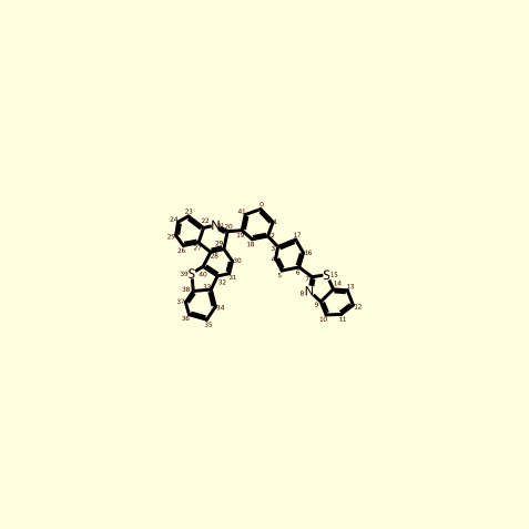 c1cc(-c2ccc(-c3nc4ccccc4s3)cc2)cc(-c2nc3ccccc3c3c2ccc2c4ccccc4sc23)c1